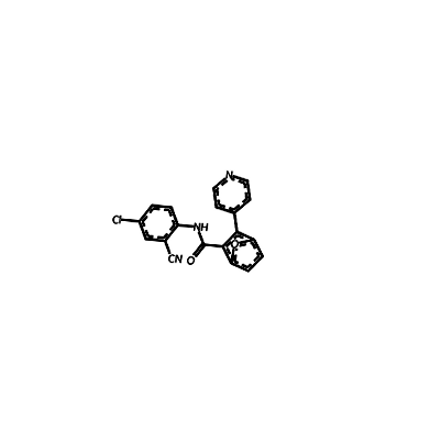 N#Cc1cc(Cl)ccc1NC(=O)c1c(-c2ccncc2)c2ccc1o2